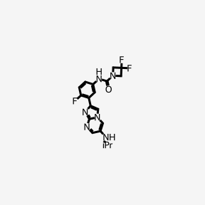 CC(C)Nc1cnc2nc(-c3cc(NC(=O)N4CC(F)(F)C4)ccc3F)cn2c1